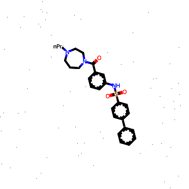 CCCN1CCCN(C(=O)c2cccc(NS(=O)(=O)c3ccc(-c4ccccc4)cc3)c2)CC1